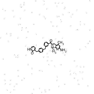 Cc1cc(N)nc(C)c1CNC(=O)c1cccc(Cc2ccc(Cc3ccc[nH]c3=O)cc2)c1